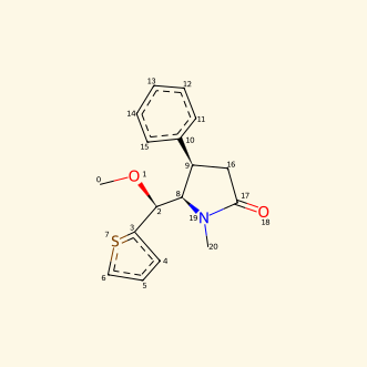 CO[C@H](c1cccs1)[C@H]1[C@@H](c2ccccc2)CC(=O)N1C